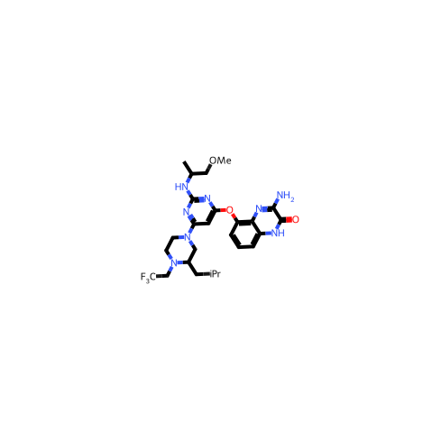 COCC(C)Nc1nc(Oc2cccc3[nH]c(=O)c(N)nc23)cc(N2CCN(CC(F)(F)F)C(CC(C)C)C2)n1